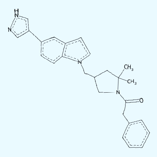 CC1(C)CC(Cn2ccc3cc(-c4cn[nH]c4)ccc32)CN1C(=O)Cc1ccccc1